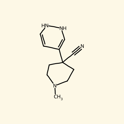 CN1CCC(C#N)(C2=CNNC=C2)CC1